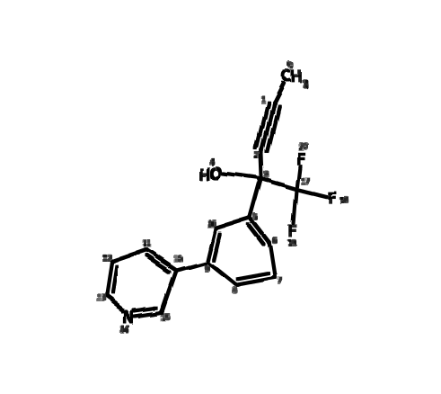 CC#CC(O)(c1cccc(-c2cccnc2)c1)C(F)(F)F